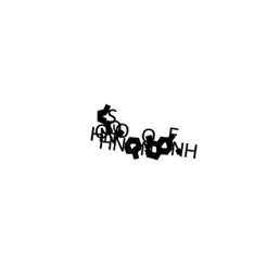 CNc1cc2ccn(-c3ccc(NC(=O)NS(=O)(=O)c4ccc(C)s4)cc3C)c(=O)c2cc1F